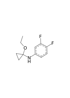 CCOC1(Nc2ccc(F)c(F)c2)CC1